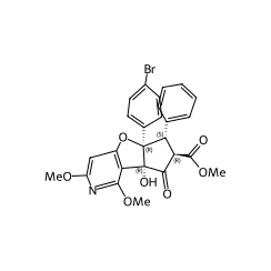 COC(=O)[C@H]1C(=O)[C@@]2(O)c3c(cc(OC)nc3OC)O[C@@]2(c2ccc(Br)cc2)[C@@H]1c1ccccc1